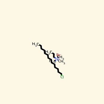 CCCCCCCCCCCCCCCl.CCC[N+](C)(C)C.[Br-]